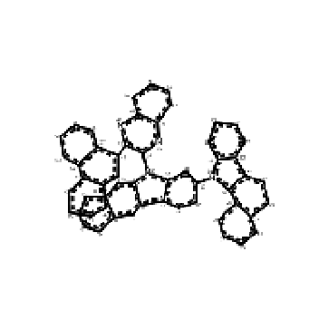 c1ccc2cc3c(cc2c1)c1ccc(-n2c4ccccc4c4ccc5ccccc5c42)cc1n3-c1nc2ccccc2nc1-c1cc2ccccc2c2ccccc12